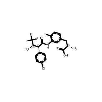 C[C@H]([C@H](C(=O)Nc1cc(C[C@H](C)C(=O)O)ccc1F)c1ccc(Cl)cc1)C(F)(F)F